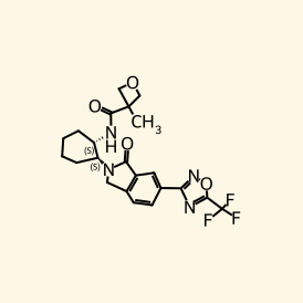 CC1(C(=O)N[C@H]2CCCC[C@@H]2N2Cc3ccc(-c4noc(C(F)(F)F)n4)cc3C2=O)COC1